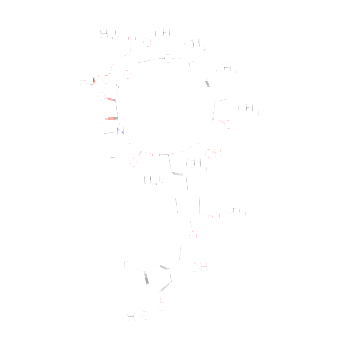 CCC1/C=C(\C)CC(C)CC(OC)C2OC(O)(C(=O)C(=O)N3CCCCC3C(=O)OC(C(C)=CC3CCC(OCC(O)c4cc(F)cc(OC)c4)C(OC)C3)C(C)C(O)CC1=O)C(C)CC2OC